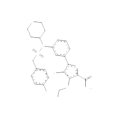 COC(=O)c1sc(-c2cccc(N(C3CCNCC3)S(=O)(=O)Cc3ccc(C(F)(F)F)cc3)c2)c(Br)c1OCC(=O)O